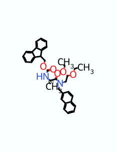 CCOC(CN(Cc1ccc2ccccc2c1)C(=O)[C@H](C)NC(=O)OCC1c2ccccc2-c2ccccc21)OCC